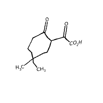 CC1(C)CCC(=O)C(C(=O)C(=O)O)C1